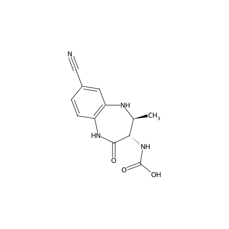 C[C@@H]1Nc2cc(C#N)ccc2NC(=O)[C@H]1NC(=O)O